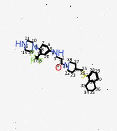 O=C(CCNc1ccc(N2CCNCC2)c(C(F)(F)F)c1)N1CCC(CSc2cccc3c2CCCC3)CC1